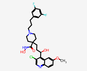 COc1ccc2ncc(Cl)c([C@H](O)CCC3(C(=O)NO)CCN(CCCc4cc(F)cc(F)c4)CC3)c2c1